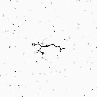 CCNC(C#CCCCN(C)C)C(=O)CC